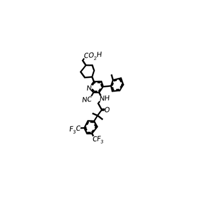 Cc1ccccc1-c1cc(C2CCC(CC(=O)O)CC2)nc(C#N)c1NCC(=O)C(C)(C)c1cc(C(F)(F)F)cc(C(F)(F)F)c1